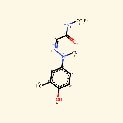 CCOC(=O)NC(=O)/C=N\N(C#N)c1ccc(O)c(C)c1